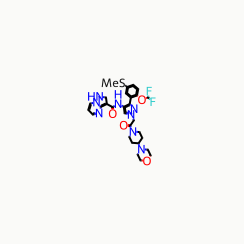 CSc1ccc(OC(F)F)c(-c2nn(CC(=O)N3CCC(N4CCOCC4)CC3)cc2NC(=O)C2=C3N=CC=CN3NC2)c1